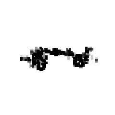 C[C@H](NCCO)C(=O)N[C@H]1CCCC[C@H]2CC[C@@H](C(=O)NCc3cn(CCCCc4ccc(CCCCN(C)/C=C(\N=N)[C@@H](NC(=O)[C@@H]5CC[C@@H]6CCCC[C@H](NC(=O)CNCCO)C(=O)N65)c5ccccc5)cc4)nn3)N2C1=C1CC1